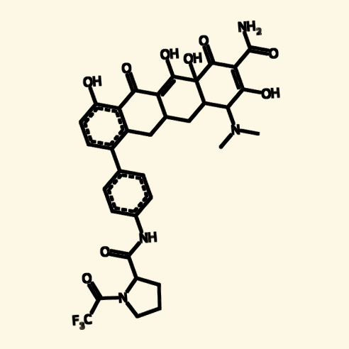 CN(C)C1C(O)=C(C(N)=O)C(=O)C2(O)C(O)=C3C(=O)c4c(O)ccc(-c5ccc(NC(=O)C6CCCN6C(=O)C(F)(F)F)cc5)c4CC3CC12